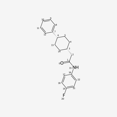 O=C(C[C@H]1CC[C@@H](c2ccccc2)CC1)Nc1ccc(F)cc1